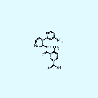 Cc1nc(N)cc(-c2ccncc2NC(=O)c2nc(C(=N)S)ccc2N)n1